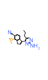 CCCc1cnc(N)nc1C1=CCc2c1ccc(C#N)c2P(C)C